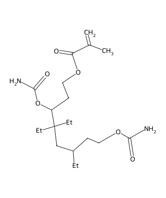 C=C(C)C(=O)OCCC(OC(N)=O)C(CC)(CC)CC(CC)CCOC(N)=O